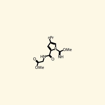 CCCc1cc(C(=O)NCC(=O)OC)n(C(=N)OC)c1